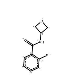 O=C(NC1COC1)c1ccccc1F